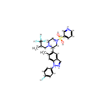 Cc1cc2c(cnn2-c2ccc(F)cc2)cc1[C@@H]1CN(S(=O)(=O)c2cccnc2)CCN1CC(C)C(F)(F)F